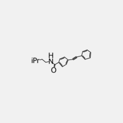 CC(C)CCNC(=O)c1ccc(C#Cc2ccccc2)cc1